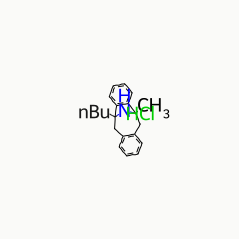 CCCCC12Cc3ccccc3CC(C)(N1)c1ccccc12.Cl